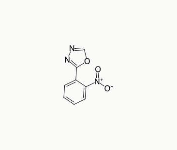 O=[N+]([O-])c1ccccc1-c1nnco1